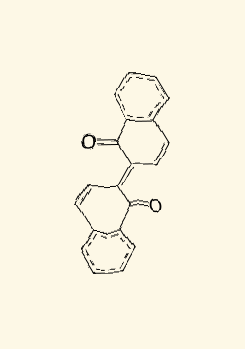 O=C1C(=C2C=Cc3ccccc3C2=O)C=Cc2ccccc21